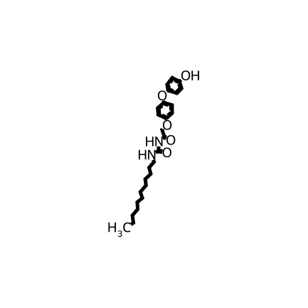 CCCCCCCCCCCCNC(=O)NC(=O)COc1ccc(Oc2ccc(O)cc2)cc1